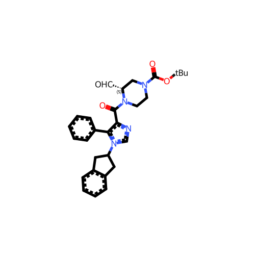 CC(C)(C)OC(=O)N1CCN(C(=O)c2ncn(C3Cc4ccccc4C3)c2-c2ccccc2)[C@H](C=O)C1